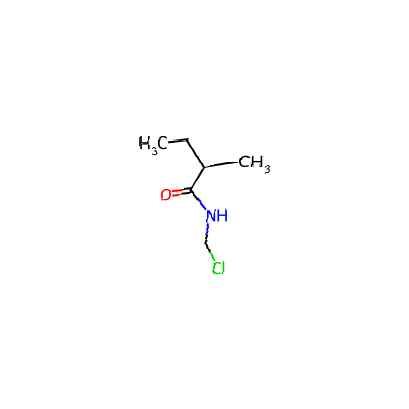 CCC(C)C(=O)NCCl